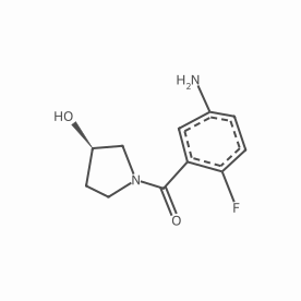 Nc1ccc(F)c(C(=O)N2CC[C@@H](O)C2)c1